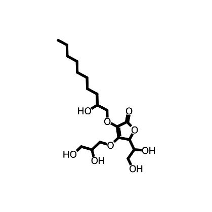 CCCCCCCCC(O)COC1=C(OCC(O)CO)C(C(O)CO)OC1=O